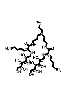 COCCN(CCCNC(=O)[C@H](CCCCN)NC[C@H](O)[C@@H](O)[C@H](O)[C@H](O)CO)CCCNC(=O)[C@H](CCCCN)NC[C@H](O)[C@@H](O)[C@H](O)[C@H](O)CO